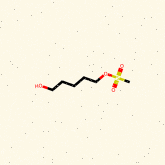 CS(=O)(=O)OCCCCCO